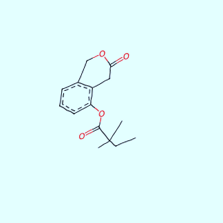 CCC(C)(C)C(=O)Oc1cccc2c1CC(=O)OC2